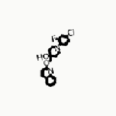 OC1(COc2ccc3ccccc3n2)CCN(c2ccc(Cl)cc2F)CC1